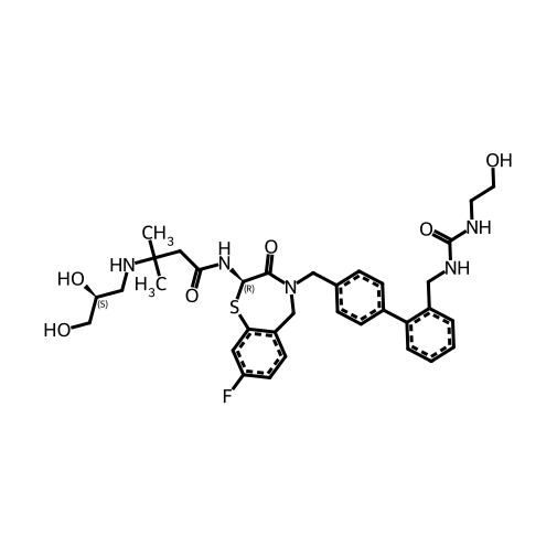 CC(C)(CC(=O)N[C@@H]1Sc2cc(F)ccc2CN(Cc2ccc(-c3ccccc3CNC(=O)NCCO)cc2)C1=O)NC[C@H](O)CO